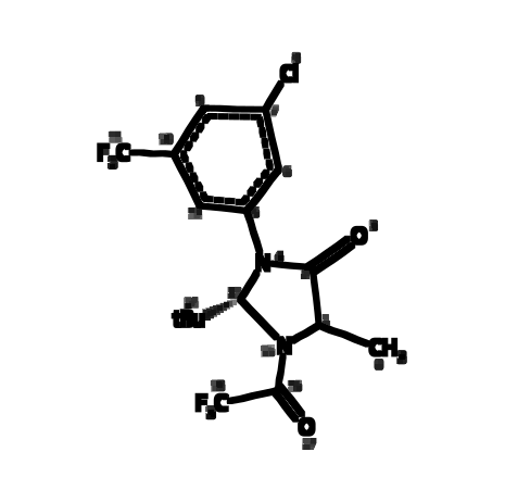 CC1C(=O)N(c2cc(Cl)cc(C(F)(F)F)c2)[C@@H](C(C)(C)C)N1C(=O)C(F)(F)F